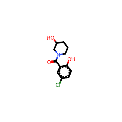 O=C(c1cc(Cl)ccc1O)N1CCCC(O)C1